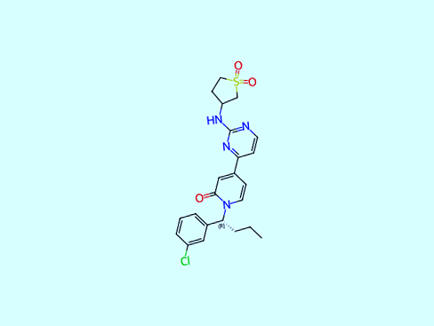 CCC[C@H](c1cccc(Cl)c1)n1ccc(-c2ccnc(NC3CCS(=O)(=O)C3)n2)cc1=O